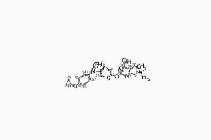 C=N/C=c1/nc(Oc2ccc(N(C)c3ccc(OC4CC4)cc3)cc2)nc(O)/c1=C/C